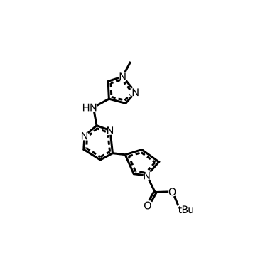 Cn1cc(Nc2nccc(-c3ccn(C(=O)OC(C)(C)C)c3)n2)cn1